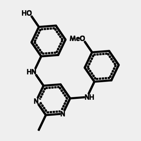 COc1cccc(Nc2cc(Nc3cccc(O)c3)nc(C)n2)c1